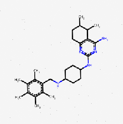 Cc1c(C)c(C)c(CNC2CCC(Nc3nc(N)c4c(n3)CCC(C)C4C)CC2)c(C)c1C